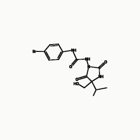 CC(C)C1(CO)NC(=O)N(NC(=O)Nc2ccc(Br)cc2)C1=O